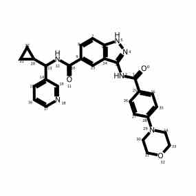 O=C(Nc1n[nH]c2ccc(C(=O)NC(c3cccnc3)C3CC3)cc12)c1ccc(N2CCOCC2)cc1